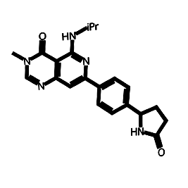 CC(C)Nc1nc(-c2ccc(C3CCC(=O)N3)cc2)cc2ncn(C)c(=O)c12